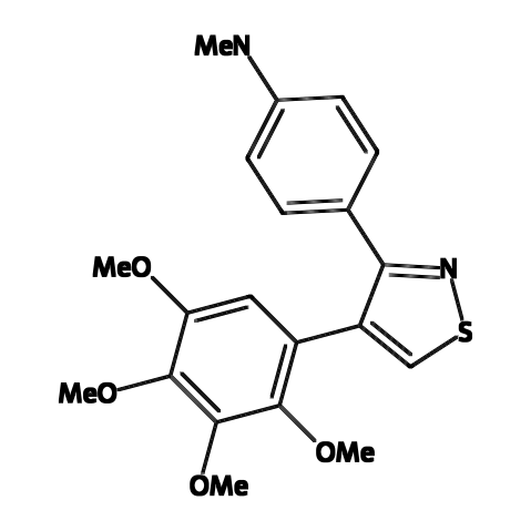 CNc1ccc(-c2nscc2-c2cc(OC)c(OC)c(OC)c2OC)cc1